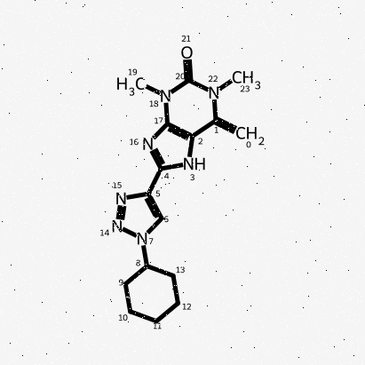 C=C1c2[nH]c(-c3cn(C4CCCCC4)nn3)nc2N(C)C(=O)N1C